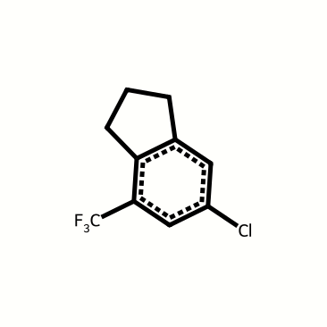 FC(F)(F)c1cc(Cl)cc2c1CCC2